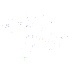 O=C(Nc1ccc(Cl)cn1)c1cc(Cl)ccc1NC(=O)N1CCNCC1.O=C(O)C(F)(F)F